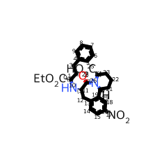 CCOC(=O)[C@H](CCc1ccccc1)N[C@H]1Cc2ccc([N+](=O)[O-])cc2[C@H]2CCC[C@@H](C(=O)O)N2C1=O